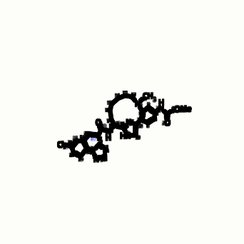 COC(=O)Nc1ccc2c(c1)N(C)CCCCCC[C@H](NC(=O)/C=C/c1cc(Cl)ccc1-n1cnnn1)c1nc-2c[nH]1